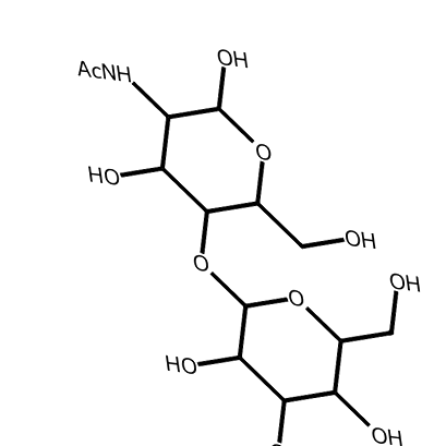 COC1C(O)C(CO)OC(OC2C(CO)OC(O)C(NC(C)=O)C2O)C1O